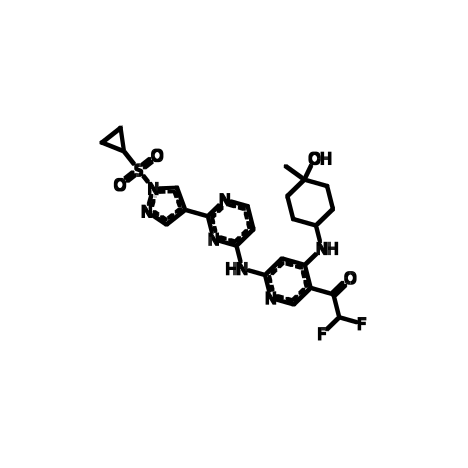 CC1(O)CCC(Nc2cc(Nc3ccnc(-c4cnn(S(=O)(=O)C5CC5)c4)n3)ncc2C(=O)C(F)F)CC1